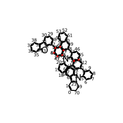 C1=Cc2c(n(-c3ccccc3-c3cccc(-c4ccccc4N(c4ccc(-c5cccc6c5oc5ccccc56)cc4)c4ccccc4-c4cc5ccccc5c5ccccc45)c3)c3ccccc23)CC1